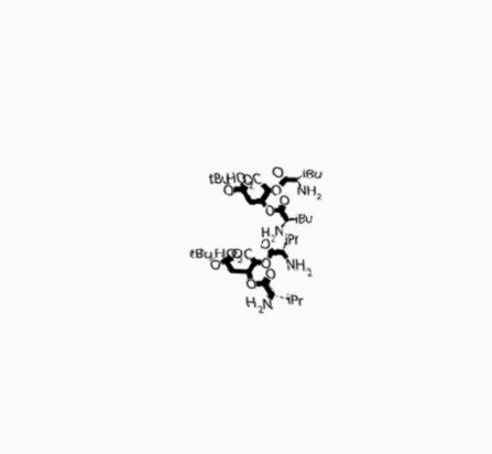 CC(C)[C@H](N)C(=O)OC(CC(=O)OC(C)(C)C)C(OC(=O)[C@@H](N)C(C)C)C(=O)O.CC[C@H](C)[C@H](N)C(=O)OC(CC(=O)OC(C)(C)C)C(OC(=O)[C@@H](N)[C@@H](C)CC)C(=O)O